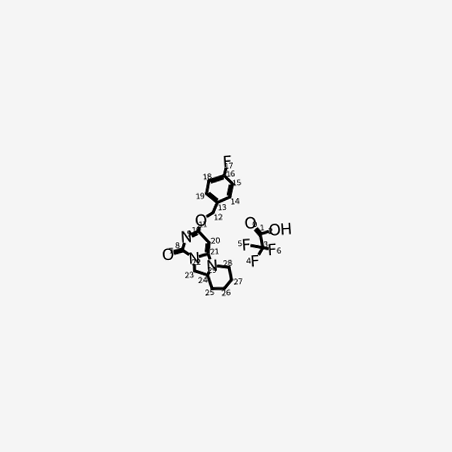 O=C(O)C(F)(F)F.O=c1nc(OCc2ccc(F)cc2)cc2n1CC1CCCCN21